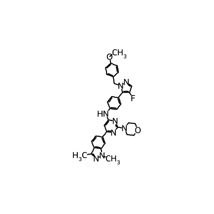 COc1ccc(Cn2ncc(F)c2-c2ccc(Nc3cc(-c4ccc5c(C)nn(C)c5c4)nc(N4CCOCC4)n3)cc2)cc1